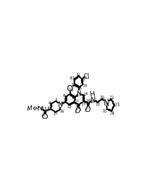 CNC(=O)C1CCN(c2cc3c4c(c2)c(=O)c(C(=O)NCCN2CCCC2)cn4-c2cc(Cl)ccc2O3)CC1